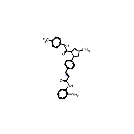 CN1CC(C(=O)Nc2ccc(C(F)(F)F)cc2)C(c2ccc(/C=C/C(=O)Nc3ccccc3N)cc2)C1